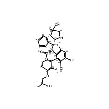 CC(O)COc1ccc(C(N)=O)c(-c2c(Cl)c(F)cc3c2C[C@](c2ccccc2)(C2C[C@](C)(O)CN2)O3)c1F